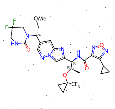 COC[C@H](c1cnn2cc([C@@H](NC(=O)c3nonc3C3CC3)[C@@H](C)OC3(C(F)(F)F)CC3)nc2c1)N1CC(F)(F)CNC1=O